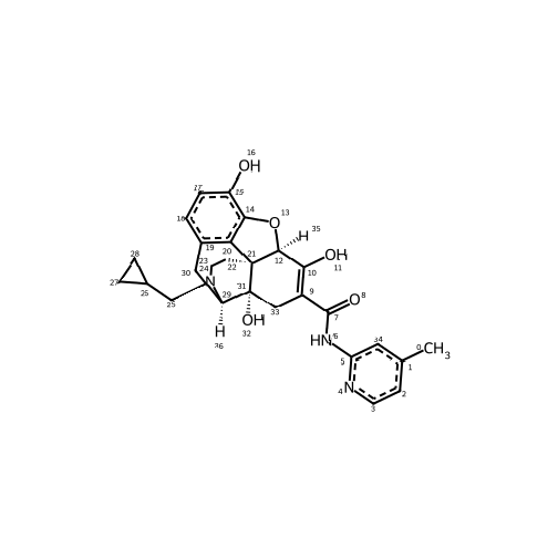 Cc1ccnc(NC(=O)C2=C(O)[C@@H]3Oc4c(O)ccc5c4[C@@]34CCN(CC3CC3)[C@H](C5)[C@]4(O)C2)c1